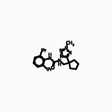 CC(C)c1cccc(C(C)C)c1NC(=O)NCC1(c2nnn(C)n2)CCCC1